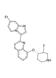 CCc1ccn2c(-c3ccc4cccc(O[C@H]5CCNCC5F)c4n3)cnc2c1